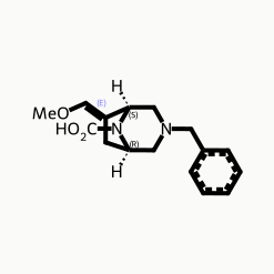 CO/C=C1\C[C@@H]2CN(Cc3ccccc3)C[C@H]1N2C(=O)O